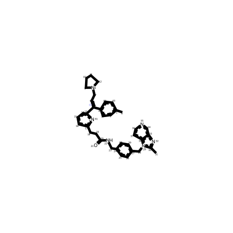 Cc1ccc(/C(=C\CN2CCCC2)c2cccc(CCC(=O)NCc3ccc(Cn4c(C)nc5cnccc54)cc3)n2)cc1